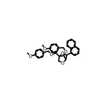 COc1ccc(COCC23COC(C(c4cccc5ccccc45)O2)C3OCc2ccc(OC)cc2)cc1